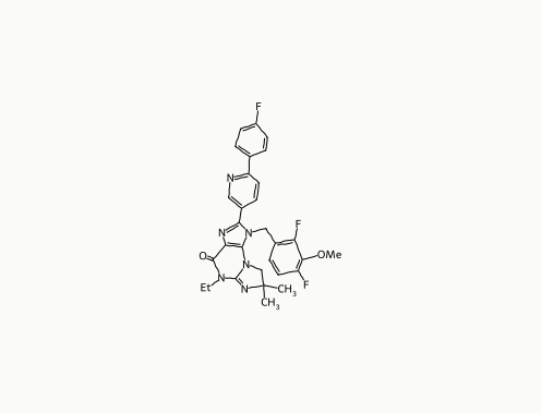 CCN1C(=O)c2nc(-c3ccc(-c4ccc(F)cc4)nc3)n(Cc3ccc(F)c(OC)c3F)c2N2CC(C)(C)N=C12